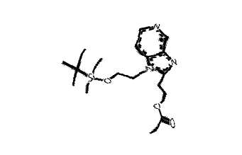 CC(=O)OCc1nc2cnccc2n1CCO[Si](C)(C)C(C)(C)C